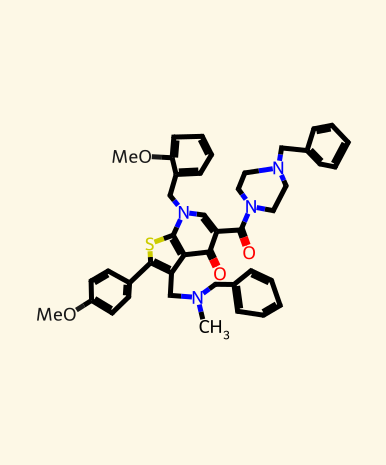 COc1ccc(-c2sc3c(c2CN(C)Cc2ccccc2)c(=O)c(C(=O)N2CCN(Cc4ccccc4)CC2)cn3Cc2ccccc2OC)cc1